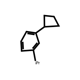 [CH2]C(C)c1cccc(C2CCC2)c1